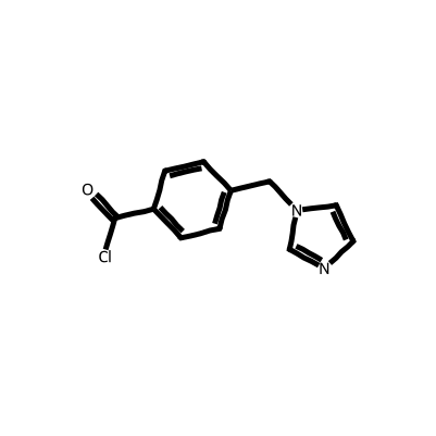 O=C(Cl)c1ccc(Cn2ccnc2)cc1